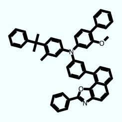 COc1cc(N(c2cccc(-c3cccc4ccc5nc(-c6ccccc6)oc5c34)c2)c2ccc(C(C)(C)c3ccccc3)c(C)c2)ccc1-c1ccccc1